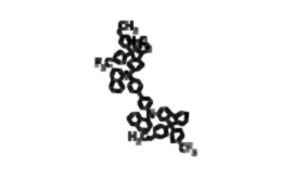 C=Cc1ccc(C2(c3ccc(C(F)(F)F)cc3)C(C)=C(/C=C\C)c3ccc(N(c4ccc(-c5ccc(N(c6ccc7c(c6)C(c6ccc(C=C)cc6)(c6ccc(C(F)(F)F)cc6)c6ccccc6-7)c6cccc7ccccc67)cc5)cc4)c4cccc5ccccc45)cc32)cc1